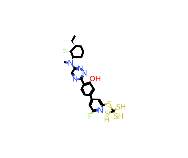 CC[C@@H]1CCC[C@H](N(C)c2cnc(-c3ccc(-c4cc(F)nc(SC(S)(S)S)c4)cc3O)nn2)[C@@H]1F